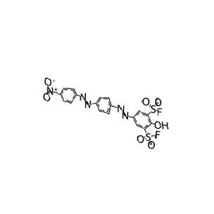 O=[N+]([O-])c1ccc(N=Nc2ccc(N=Nc3cc(S(=O)(=O)F)c(O)c(S(=O)(=O)F)c3)cc2)cc1